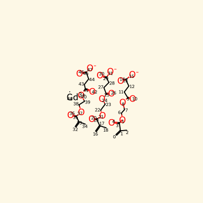 C=C(C)C(=O)OCCOC(=O)CCC(=O)[O-].C=C(C)C(=O)OCCOC(=O)CCC(=O)[O-].C=C(C)C(=O)OCCOC(=O)CCC(=O)[O-].[Gd+3]